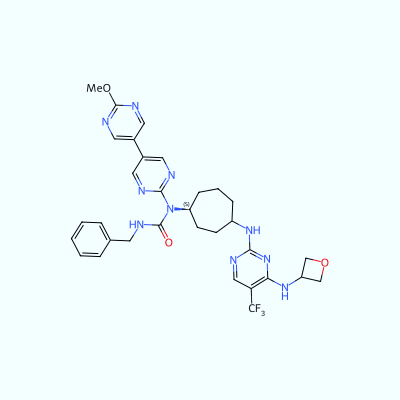 COc1ncc(-c2cnc(N(C(=O)NCc3ccccc3)[C@H]3CCCC(Nc4ncc(C(F)(F)F)c(NC5COC5)n4)CC3)nc2)cn1